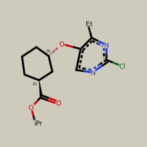 CCc1nc(Cl)ncc1O[C@H]1CCC[C@H](C(=O)OC(C)C)C1